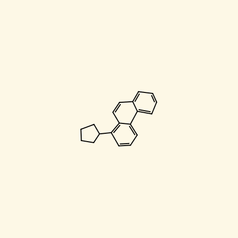 c1ccc2c(c1)ccc1c(C3CCCC3)cccc12